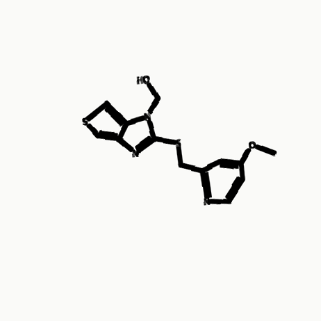 COc1ccnc(CSc2nc3cscc3n2CO)c1